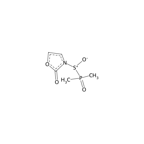 CP(C)(=O)[S+]([O-])n1ccoc1=O